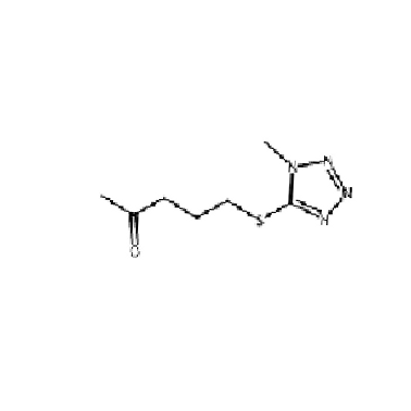 CC(=O)CCCSc1nnnn1C